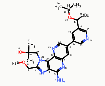 CCOCc1nc2c(N)nc3cc(-c4cncc(C(O[SiH](C)C)C(C)(C)C)c4)cnc3c2n1CC(C)(C)O